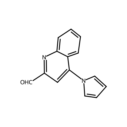 O=Cc1cc(-n2cccc2)c2ccccc2n1